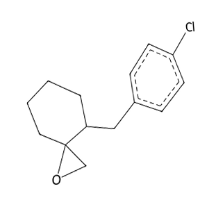 Clc1ccc(CC2CCCCC23CO3)cc1